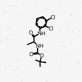 CC(NC(=O)OC(C)(C)C)C(=O)Nc1cccc(Cl)c1Cl